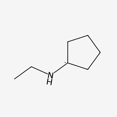 CCN[C]1CCCC1